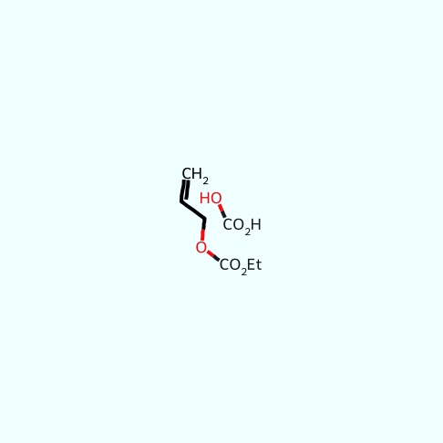 C=CCOC(=O)OCC.O=C(O)O